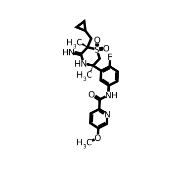 COc1ccc(C(=O)Nc2ccc(F)c([C@]3(C)CS(=O)(=O)[C@@](C)(CC4CC4)C(=N)N3)c2)nc1